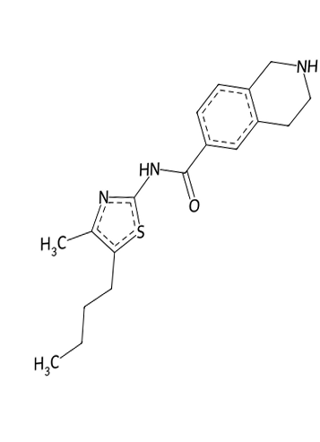 CCCCc1sc(NC(=O)c2ccc3c(c2)CCNC3)nc1C